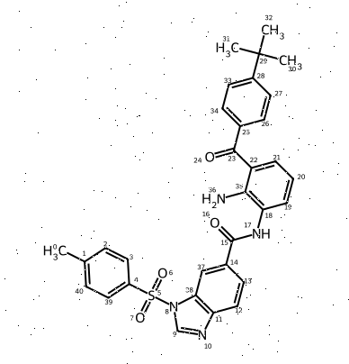 Cc1ccc(S(=O)(=O)n2cnc3ccc(C(=O)Nc4cccc(C(=O)c5ccc(C(C)(C)C)cc5)c4N)cc32)cc1